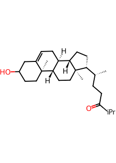 CC(C)C(=O)CC[C@@H](C)[C@H]1CC[C@H]2[C@@H]3CC=C4CC(O)CC[C@]4(C)[C@H]3CC[C@]12C